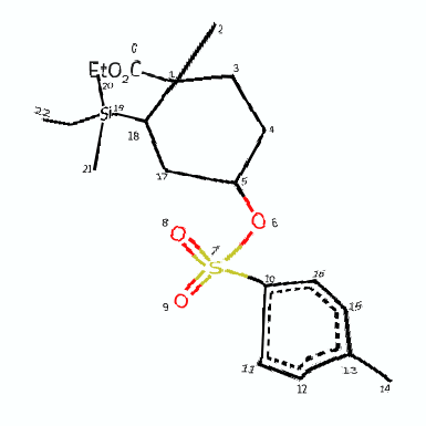 CCOC(=O)C1(C)CCC(OS(=O)(=O)c2ccc(C)cc2)CC1[Si](C)(C)C